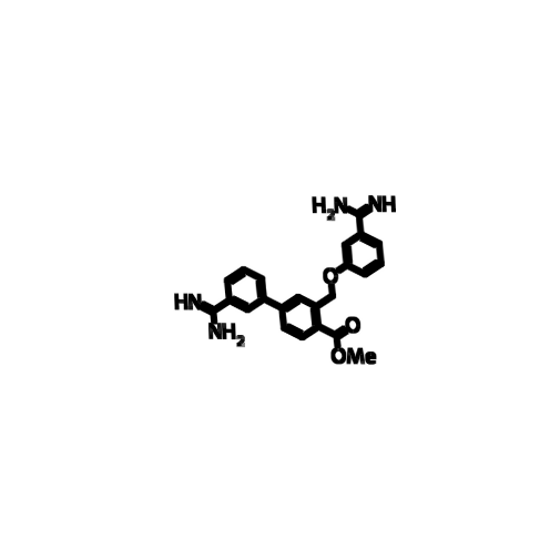 COC(=O)c1ccc(-c2cccc(C(=N)N)c2)cc1COc1cccc(C(=N)N)c1